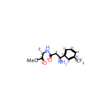 COC(=O)[C@H](C)NC(=O)CC(N)c1cccc(C(F)(F)F)c1